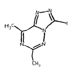 Cc1nc(C)c2nnc(I)n2n1